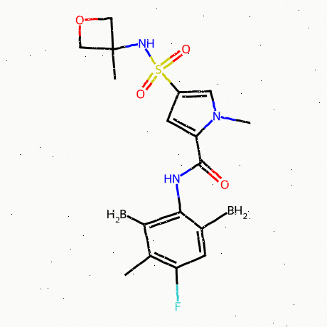 Bc1cc(F)c(C)c(B)c1NC(=O)c1cc(S(=O)(=O)NC2(C)COC2)cn1C